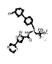 C[C@@](O)(CN(Cc1ccc(-c2cccc(Cl)c2)cc1)NC(=O)c1cc(-c2cnccn2)n[nH]1)C(=O)O